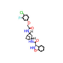 O=C(COc1ccc(Cl)c(F)c1)N[C@@H]1C[C@H](NC(=O)C2NOc3ccccc32)C2CC1C2